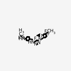 CC(F)SNc1ccc(CNc2ncnc(N(Cc3ccc(C(C)(F)F)cn3)C3CC3)c2F)cc1